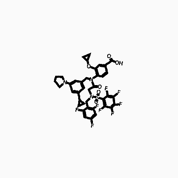 O=C(O)c1ccc(N(Cc2cc(C3CC3)cc(N3CCCC3)c2)C(=O)CN(Cc2c(F)cc(F)cc2F)S(=O)(=O)c2c(F)c(F)c(F)c(F)c2F)c(OC2CC2)c1